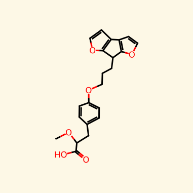 COC(Cc1ccc(OCCCC2c3occc3-c3ccoc32)cc1)C(=O)O